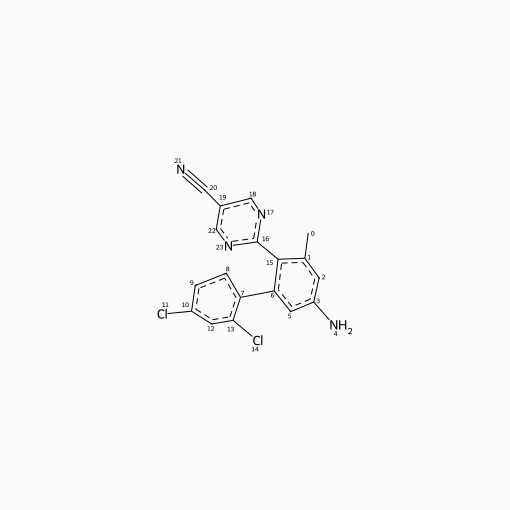 Cc1cc(N)cc(-c2ccc(Cl)cc2Cl)c1-c1ncc(C#N)cn1